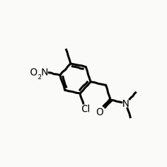 Cc1cc(CC(=O)N(C)C)c(Cl)cc1[N+](=O)[O-]